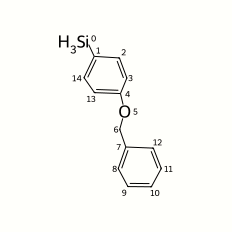 [SiH3]c1ccc(OCc2ccccc2)cc1